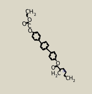 C=C/C=C\C(=C)C(=O)Oc1ccc(-c2ccc(-c3ccc(OCC(=O)OC=C)cc3)cc2)cc1